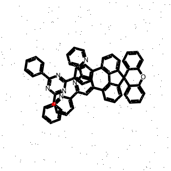 c1ccc(-c2nc(-c3ccccc3)nc(-c3ccc(-c4cccc5c4-c4c(-c6cc(-c7ccccn7)nc(-c7ccccn7)c6)cccc4C54c5ccccc5Oc5ccccc54)cc3)n2)cc1